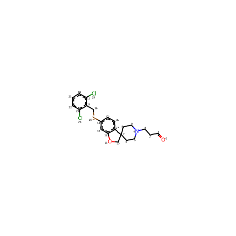 O=CCCN1CCC2(CC1)COc1cc(SCc3c(Cl)cccc3Cl)ccc12